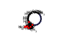 C=CCOC(=O)N[C@@H]1[C@H](O)[C@H](O[C@H]2/C=C/C=C/C=C/C=C/C=C/C=C/C=C/[C@H](C)[C@@H](O)[C@@H](C)[C@H](C)OC(=O)C[C@H](O)C[C@H](O)CC[C@@H](O)[C@H](O)C[C@H](O)C[C@]3(O)C[C@H](OC(=O)OCC=C)[C@@H](N=C=O)[C@H](C2)O3)O[C@H](C)[C@H]1O